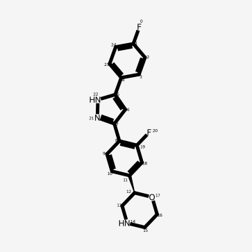 Fc1ccc(-c2cc(-c3ccc([C@@H]4CNCCO4)cc3F)n[nH]2)cc1